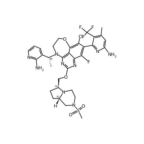 Cc1cc(N)nc(-c2c(Cl)c3c4c(nc(OC[C@@H]5CC[C@H]6CN(S(C)(=O)=O)CCN56)nc4c2F)N([C@H](C)c2cccnc2N)CCO3)c1C(F)(F)F